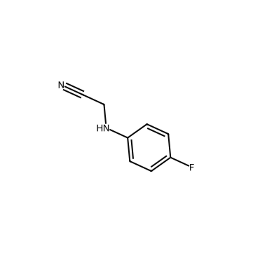 N#CCNc1ccc(F)cc1